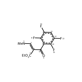 CCOC(=O)C(=CNC)C(=O)c1c(F)c(F)cc(F)c1F